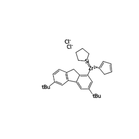 CC(C)(C)c1ccc2c(c1)-c1cc(C(C)(C)C)c[c]([Zr+2]([C]3=CC=CC3)=[Si]3CCCC3)c1C2.[Cl-].[Cl-]